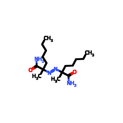 CCCCCC(C)(N=NC(C)(CCCCC)C(N)=O)C(N)=O